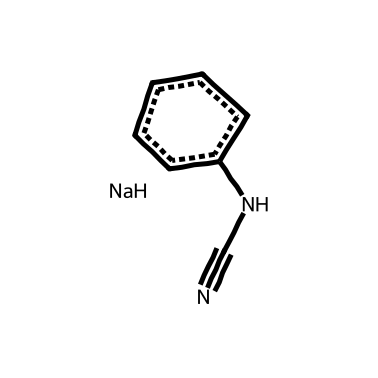 N#CNc1ccccc1.[NaH]